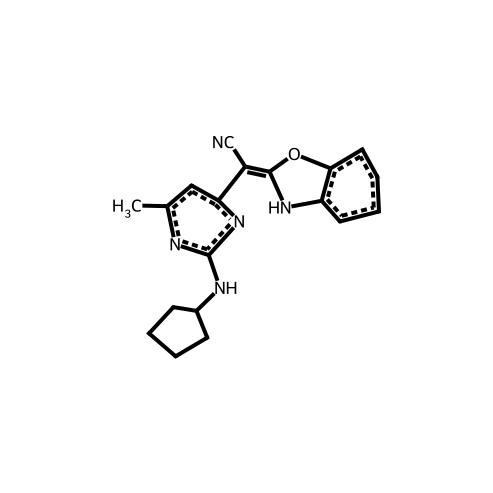 Cc1cc(C(C#N)=C2Nc3ccccc3O2)nc(NC2CCCC2)n1